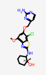 COc1cc(OCc2ccnc(N)n2)c(Cl)c2sc(NC3CCCC[C@@]3(C)O)nc12